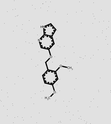 COc1ccc(COc2cnc3[nH]ccc3c2)c(OC)c1